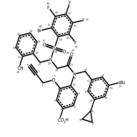 C#CCOc1cc(C(=O)O)ccc1N(Cc1cc(C2CC2)cc(C(C)(C)C)c1)C(=O)CN(Cc1ccccc1C#N)S(=O)(=O)c1c(F)c(F)c(F)c(F)c1Br